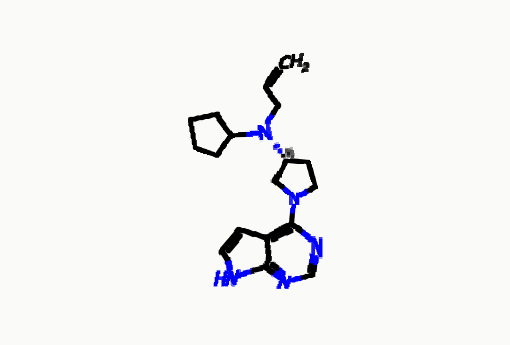 C=CCN(C1CCCC1)[C@@H]1CCN(c2ncnc3[nH]ccc23)C1